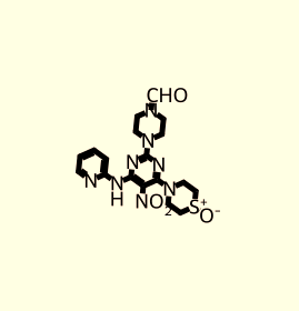 O=CN1CCN(c2nc(Nc3ccccn3)c([N+](=O)[O-])c(N3CC[S+]([O-])CC3)n2)CC1